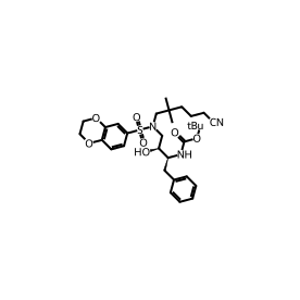 CC(C)(CCCC#N)CN(C[C@H](O)[C@H](Cc1ccccc1)NC(=O)OC(C)(C)C)S(=O)(=O)c1ccc2c(c1)OCCO2